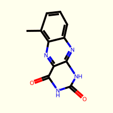 Cc1cccc2nc3[nH]c(=O)[nH]c(=O)c3nc12